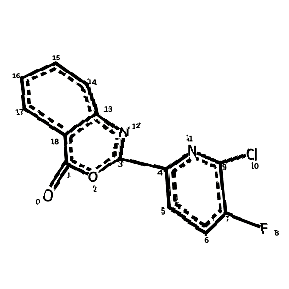 O=c1oc(-c2ccc(F)c(Cl)n2)nc2ccccc12